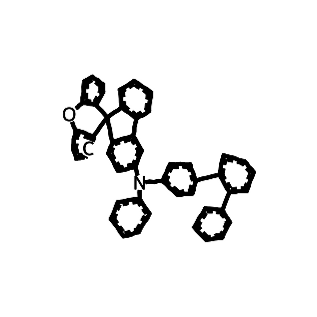 c1ccc(-c2ccccc2-c2ccc(N(c3ccccc3)c3ccc4c(c3)-c3ccccc3C43c4ccccc4Oc4ccccc43)cc2)cc1